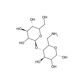 NCC1O[C@H](O)C(O)[C@@H](O)[C@@H]1O[C@@H]1OC(CO)[C@@H](O)[C@H](O)C1O